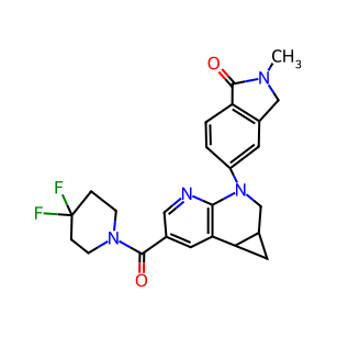 CN1Cc2cc(N3CC4CC4c4cc(C(=O)N5CCC(F)(F)CC5)cnc43)ccc2C1=O